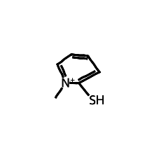 C[n+]1ccccc1S